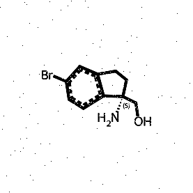 N[C@@]1(CO)CCc2cc(Br)ccc21